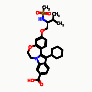 CC(C)[C@@H](COc1ccc2c(c1)OCCn1c-2c(C2CCCCC2)c2ccc(C(=O)O)cc21)NS(C)(=O)=O